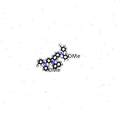 COc1cccc(N(c2cccc(C)c2)c2ccc3cc4c5ccc(N(c6cccc(C)c6)c6cccc(OC)c6)cc5n(-c5cccc6ccccc56)c4cc3c2)c1